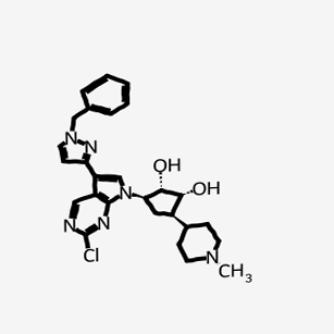 CN1CCC([C@H]2C[C@@H](n3cc(-c4ccn(Cc5ccccc5)n4)c4cnc(Cl)nc43)[C@H](O)[C@@H]2O)CC1